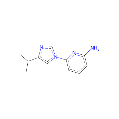 CC(C)c1cn(-c2cccc(N)n2)cn1